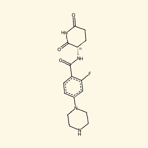 O=C1CC[C@H](NC(=O)c2ccc(N3CCNCC3)cc2F)C(=O)N1